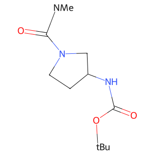 CNC(=O)N1CCC(NC(=O)OC(C)(C)C)C1